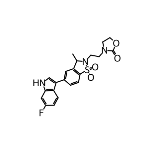 CC1c2cc(-c3c[nH]c4cc(F)ccc34)ccc2S(=O)(=O)N1CCN1CCOC1=O